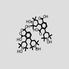 CC1(C)CC(c2ccc(C(=O)O)c(C(=O)O)c2C2CC(C)(C)N(O)C(C)(C)C2)CC(C)(C)N1O.CC1(C)CC(c2ccc(C(=O)O)c(C3CC(C)(C)N(O)C(C)(C)C3)c2C(=O)O)CC(C)(C)N1O